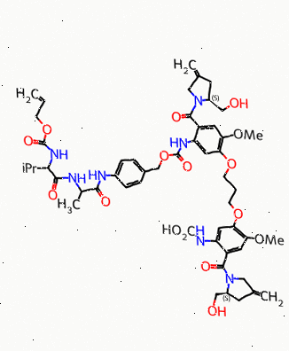 C=CCOC(=O)NC(C(=O)NC(C)C(=O)Nc1ccc(COC(=O)Nc2cc(OCCCOc3cc(NC(=O)O)c(C(=O)N4CC(=C)C[C@H]4CO)cc3OC)c(OC)cc2C(=O)N2CC(=C)C[C@H]2CO)cc1)C(C)C